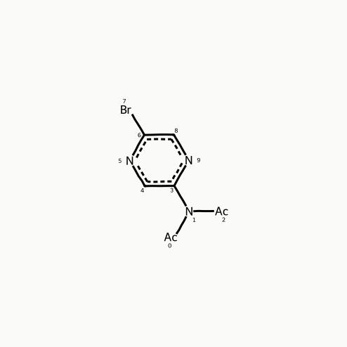 CC(=O)N(C(C)=O)c1cnc(Br)cn1